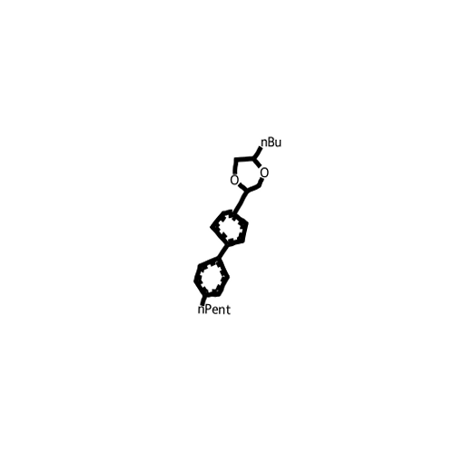 CCCCCc1ccc(-c2ccc(C3COC(CCCC)CO3)cc2)cc1